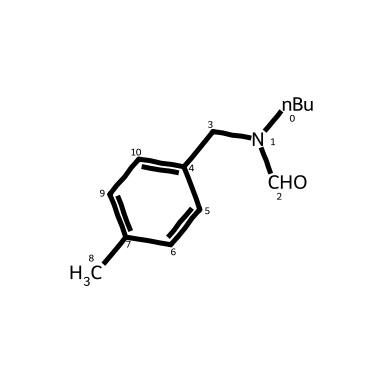 CCCCN(C=O)Cc1ccc(C)cc1